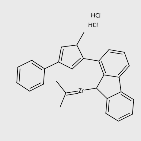 C[C](C)=[Zr][CH]1c2ccccc2-c2cccc(C3=CC(c4ccccc4)=CC3C)c21.Cl.Cl